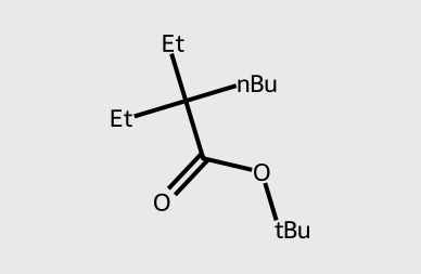 CCCCC(CC)(CC)C(=O)OC(C)(C)C